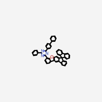 c1ccc(-c2ccc(-c3nc(-c4ccccc4)nc(-c4cccc5c4oc4cc6c(cc45)-c4ccccc4C64c5ccccc5-c5ccccc54)n3)cc2)cc1